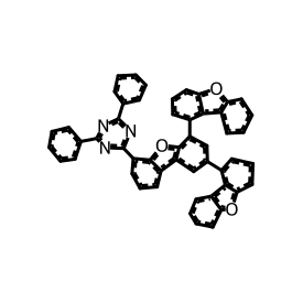 c1ccc(-c2nc(-c3ccccc3)nc(-c3cccc4c3oc3c(-c5cccc6oc7ccccc7c56)cc(-c5cccc6oc7ccccc7c56)cc34)n2)cc1